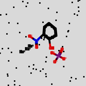 O=P([O-])([O-])[O-].O=[N+]([O-])c1ccccc1O.[Na+].[Na+].[Na+]